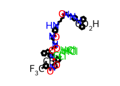 CN(CCN1CCC(N(C(=O)O)c2ccccc2-c2ccccc2)CC1)C(=O)CCCCCNc1ccc(C(=O)N(C)CCCN(C)C(=O)CO[C@H]2Cc3ccccc3C23CCN(CC[C@]2(c4ccc(Cl)c(Cl)c4)CN(C(=O)c4cc(C(F)(F)F)cc(C(F)(F)F)c4)CCO2)CC3)cc1.Cl.Cl.Cl